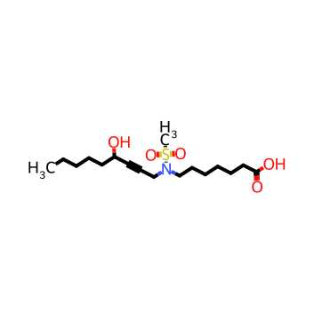 CCCCCC(O)C#CCN(CCCCCCC(=O)O)S(C)(=O)=O